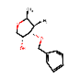 C[C@H]1[C@H](OCc2ccccc2)[C@H](O)CO[C@H]1C